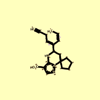 C#CC/C=C(\C=C/C)C1CC2(CCCC2)n2ncc(C(=O)O)c2N1